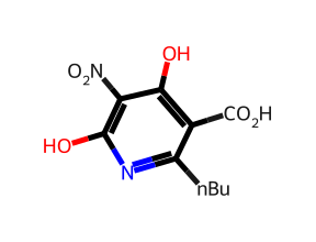 CCCCc1nc(O)c([N+](=O)[O-])c(O)c1C(=O)O